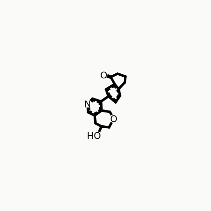 O=C1CCCc2ccc(-c3cncc4c3COCC(O)C4)cc21